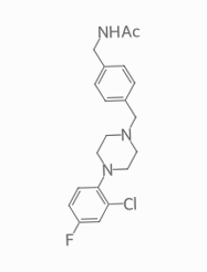 CC(=O)NCc1ccc(CN2CCN(c3ccc(F)cc3Cl)CC2)cc1